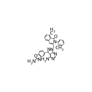 Cc1ccccc1-n1c(Cn2nc(-c3ccc4oc(N)nc4c3)c3c(N)ncnc32)cc2cccc(C)c2c1=O